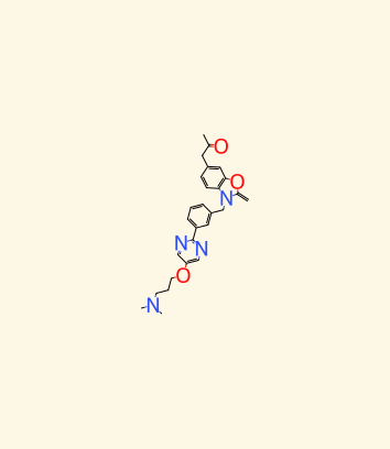 C=C1Oc2cc(CC(C)=O)ccc2N1Cc1cccc(-c2ncc(OCCCN(C)C)cn2)c1